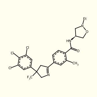 CCN1C[C@H](NC(=O)c2ccc(C3=NCC(c4cc(Cl)c(Cl)c(Cl)c4)(C(F)(F)F)C3)cc2C)CO1